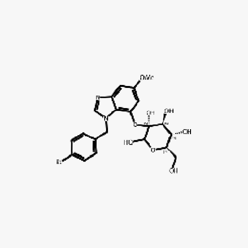 CCc1ccc(Cn2cnc3cc(OC)cc(O[C@]4(O)C(O)O[C@H](CO)[C@@H](O)[C@@H]4O)c32)cc1